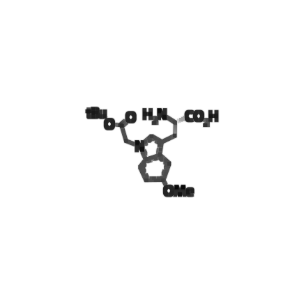 COc1ccc2c(c1)c(C[C@H](N)C(=O)O)cn2CC(=O)OC(C)(C)C